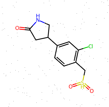 O=C1CC(c2ccc(C[SH](=O)=O)c(Cl)c2)CN1